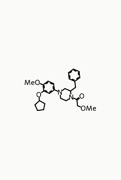 COCC(=O)N1CCN(c2ccc(OC)c(OC3CCCC3)c2)CC1Cc1ccccc1